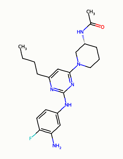 CCCCc1cc(N2CCC[C@@H](NC(C)=O)C2)nc(Nc2ccc(F)c(N)c2)n1